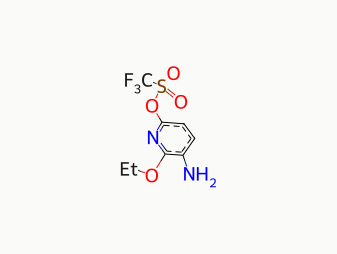 CCOc1nc(OS(=O)(=O)C(F)(F)F)ccc1N